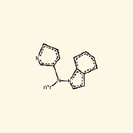 CCCN(c1cccnc1)n1ccc2ccccc21